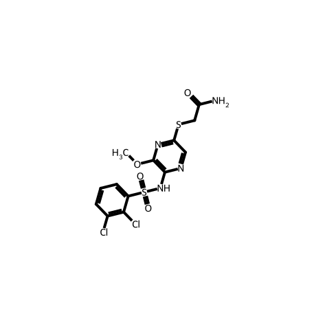 COc1nc(SCC(N)=O)cnc1NS(=O)(=O)c1cccc(Cl)c1Cl